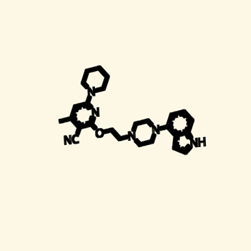 Cc1cc(N2CCCCC2)nc(OCCN2CCN(c3cccc4[nH]ccc34)CC2)c1C#N